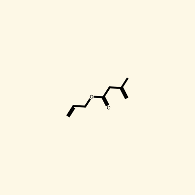 C=CCOC(=O)CC(=C)C